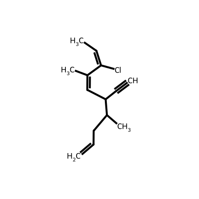 C#CC(/C=C(C)\C(Cl)=C/C)C(C)CC=C